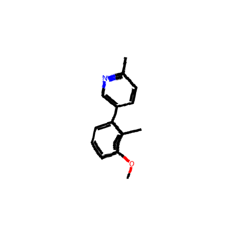 COc1[c]ccc(-c2ccc(C)nc2)c1C